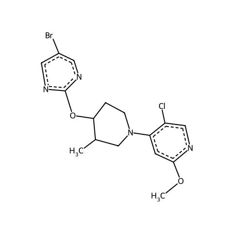 COc1cc(N2CCC(Oc3ncc(Br)cn3)C(C)C2)c(Cl)cn1